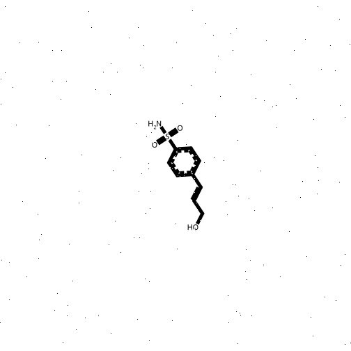 NS(=O)(=O)c1ccc(/C=C/CO)cc1